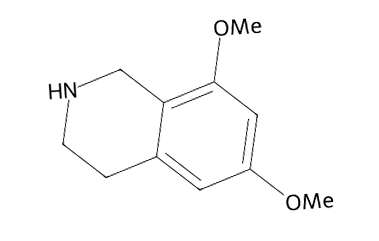 COc1cc2c(c(OC)c1)CNCC2